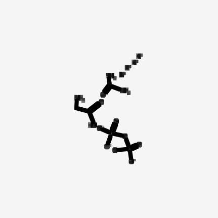 NC(N)=O.NCC(=O)O.O=P([O-])([O-])OP(=O)([O-])[O-].[K+].[K+].[K+].[K+]